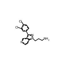 NCCCn1nc(-c2ccc(Cl)c(Cl)c2)c2cnccc21